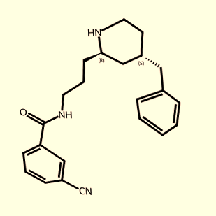 N#Cc1cccc(C(=O)NCCC[C@@H]2C[C@@H](Cc3ccccc3)CCN2)c1